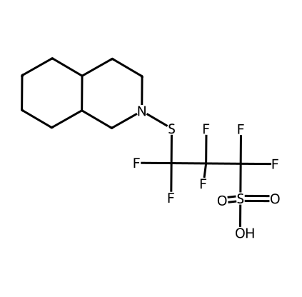 O=S(=O)(O)C(F)(F)C(F)(F)C(F)(F)SN1CCC2CCCCC2C1